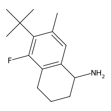 Cc1cc2c(c(F)c1C(C)(C)C)CCCC2N